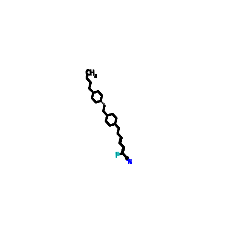 CCCC[C@H]1CC[C@H](CCC2CCC(CCC=CC=C(F)C#N)CC2)CC1